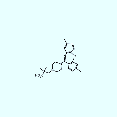 Cc1ccc2c(c1)N=C(N1CCN(CC(C)(C)C(=O)O)CC1)c1ccc(C)cc1O2